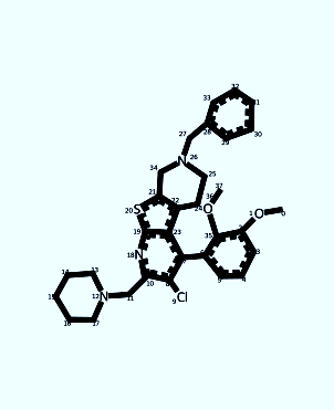 COc1cccc(-c2c(Cl)c(CN3CCCCC3)nc3sc4c(c23)CCN(Cc2ccccc2)C4)c1OC